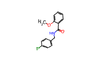 COc1ccccc1C(=O)NCc1ccc(F)cc1